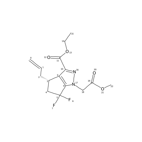 C=CC[C@H]1CC(F)(F)c2c1c(C(=O)OCC)nn2CC(=O)OC